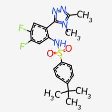 Cc1nnc(-c2cc(F)c(F)cc2NS(=O)(=O)c2ccc(C(C)(C)C)cc2)n1C